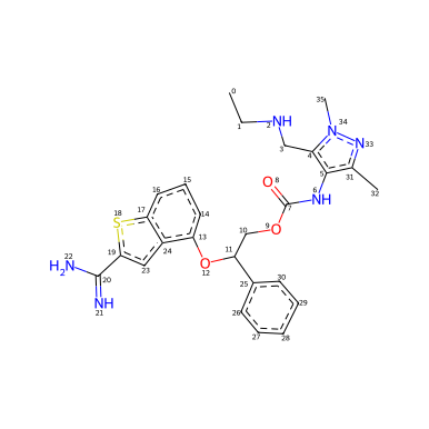 CCNCc1c(NC(=O)OCC(Oc2cccc3sc(C(=N)N)cc23)c2ccccc2)c(C)nn1C